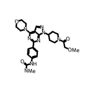 CNC(=O)Nc1ccc(-c2nc(N3CCOCC3)c3cnn(C4CCN(C(=O)COC)CC4)c3n2)cc1